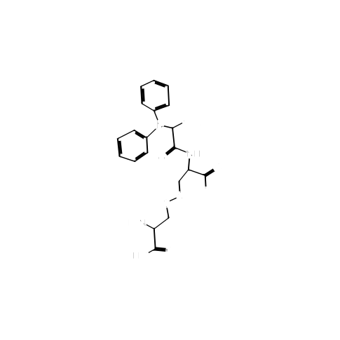 CC(C(=O)NC(CSSCC(N)C(=O)O)C(=O)O)N(c1ccccc1)c1ccccc1